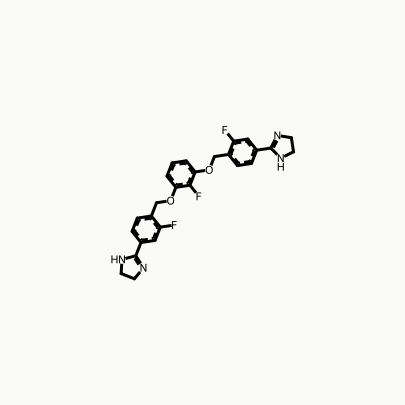 Fc1cc(C2=NCCN2)ccc1COc1cccc(OCc2ccc(C3=NCCN3)cc2F)c1F